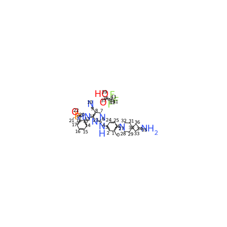 Cc1cc(Nc2ncc(C#N)c(Nc3ccccc3P(C)(C)=O)n2)ccc1N1CCC2(CC1)CC(N)C2.O=C(O)C(F)(F)F